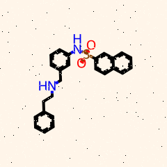 O=S(=O)(Nc1cccc(CNCCc2ccccc2)c1)c1ccc2ccccc2c1